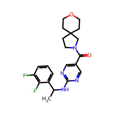 CC(Nc1ncc(C(=O)N2CCC3(CCOCC3)C2)cn1)c1cccc(F)c1F